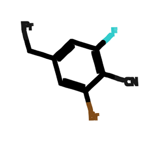 CC(C)Cc1cc(F)c(C#N)c(Br)c1